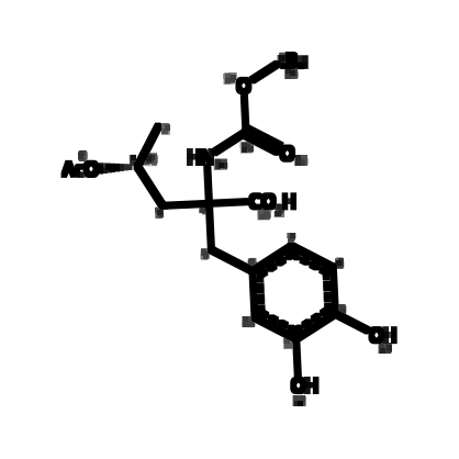 CC(=O)O[C@H](C)CC(Cc1ccc(O)c(O)c1)(NC(=O)OC(C)(C)C)C(=O)O